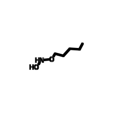 CCCCCONO